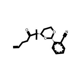 C=CCCC(=O)C(C)(C)[C@@H]1CCO[C@H](c2ccccc2C#N)O1